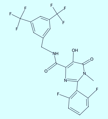 Cn1c(-c2c(F)cccc2F)nc(C(=O)NCc2cc(C(F)(F)F)cc(C(F)(F)F)c2)c(O)c1=O